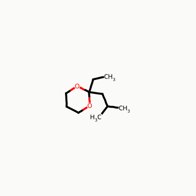 CCC1(CC(C)C)OCCCO1